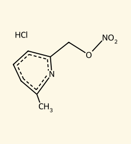 Cc1cccc(CO[N+](=O)[O-])n1.Cl